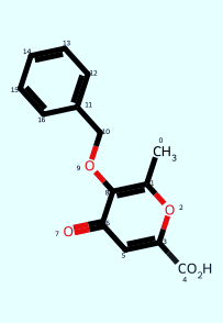 Cc1oc(C(=O)O)cc(=O)c1OCc1ccccc1